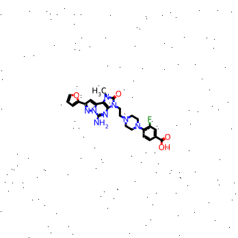 Cn1c(=O)n(CCN2CCN(c3ccc(C(=O)O)cc3F)CC2)c2nc(N)n3nc(-c4ccco4)cc3c21